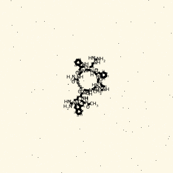 CC(=O)N[C@@H](Cc1cccc2ccccc12)C(=O)N[C@@H](CCCNC(=N)N)C(=O)N[C@H]1CSSC[C@@H](C(N)=O)NC(=O)[C@H](Cc2c[nH]c3ccccc23)NC(=O)[C@H](CCCNC(=N)N)NC(=O)[C@@H](Cc2ccccc2)NC(=O)[C@H](Cc2c[nH]cn2)NC(=O)[C@@H](C)NC1=O